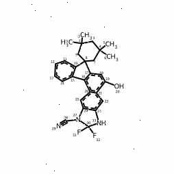 CC1(C)CC(C)(C)CC2(C1)c1ccccc1-c1c2cc(O)c2cc3c(cc12)N(C#N)C(F)(F)N3